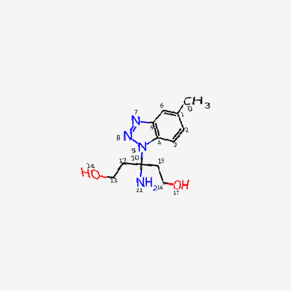 Cc1ccc2c(c1)nnn2C(N)(CCO)CCO